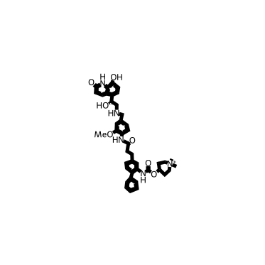 COc1cc(CNC[C@@H](O)c2ccc(O)c3[nH]c(=O)ccc23)ccc1NC(=O)CCc1ccc(-c2ccccc2)c(NC(=O)OC2CC[N+](C)(C)CC2)c1